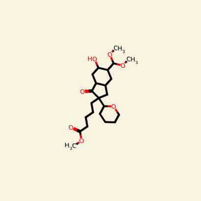 COC(=O)CCCCC1(C2CCCCO2)CC2CC(C(OC)OC)C(O)CC2C1=O